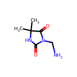 CC1(C)NC(=O)N(CN)C1=O